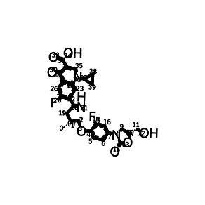 C[C@@H](COc1ccc(N2C[C@H](CO)OC2=O)cc1F)CC(=N)c1cc2c(cc1F)c(=O)c(C(=O)O)cn2C1CC1